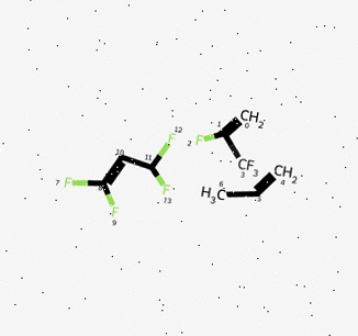 C=C(F)C(F)(F)F.C=CC.FC(F)=CC(F)F